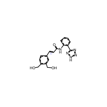 O=C(/C=C/c1ccc(CO)c(CO)c1)Nc1ccccc1-c1nn[nH]n1